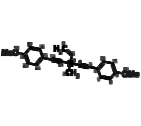 C=C[Si](C)(C#Cc1ccc(OC)cc1)C#Cc1ccc(OC)cc1